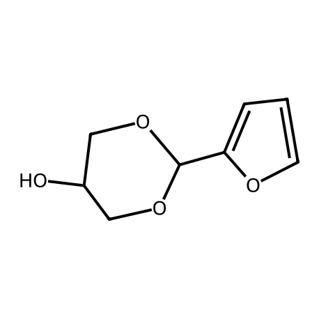 OC1COC(c2ccco2)OC1